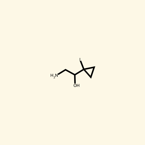 NCC(O)C1(I)CC1